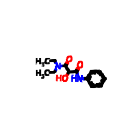 CCN(CC)C(=O)C(O)C(=O)Nc1ccccc1